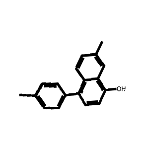 Cc1ccc(-c2ccc(O)c3cc(C)ccc23)cc1